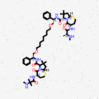 CN[C@@H](C)C(=O)N[C@H]1CCS[C@H]2CC(C)(C)[C@@H](C(=O)N[C@H](COCCCCCCCCOC[C@@H](NC(=O)C3N4C(=O)[C@@H](NC(=O)C(C)(C)NC)CCS[C@H]4CC3(C)C)c3ccccc3)c3ccccc3)N2C1=O